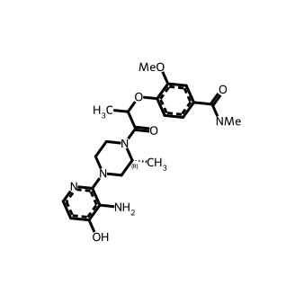 CNC(=O)c1ccc(OC(C)C(=O)N2CCN(c3nccc(O)c3N)C[C@H]2C)c(OC)c1